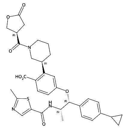 Cc1ncc(C(=O)N[C@@H](C)[C@H](Oc2ccc(C(=O)O)c([C@@H]3CCCN(C(=O)[C@H]4COC(=O)C4)C3)c2)c2ccc(C3CC3)cc2)s1